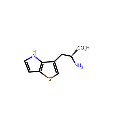 N[C@@H](Cc1csc2cc[nH]c12)C(=O)O